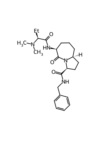 CC[C@@H](C(=O)N[C@H]1CCC[C@H]2CC[C@@H](C(=O)NCc3ccccc3)N2C1=O)N(C)C